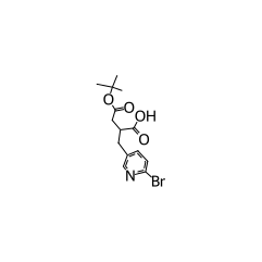 CC(C)(C)OC(=O)CC(Cc1ccc(Br)nc1)C(=O)O